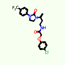 C=C(CCNC(=O)COc1ccc(Cl)cc1)N1CCN(c2ccc(C(F)(F)F)cc2)C1=O